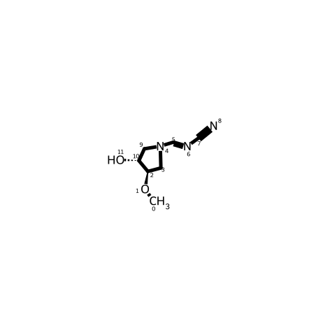 CO[C@@H]1CN(/C=N/C#N)C[C@H]1O